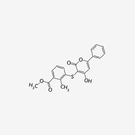 COC(=O)c1cccc(Sc2c(O)cc(-c3ccccc3)oc2=O)c1C